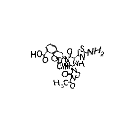 CC(=O)N1CCN(C(=O)NC(C(=O)N[C@H]2Cc3cccc(C(=O)O)c3OB2O)c2csc(N)n2)C1=O